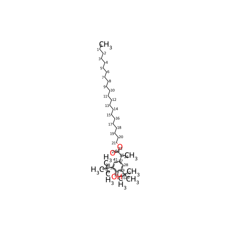 CCCCCCCCCCCCCCCCCCCCCCOC(=O)C(C)c1cc(C(C)(C)C)c(O)c(C(C)(C)C)c1